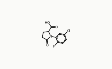 O=C(O)C1CCC(=O)N1c1cc(Cl)ccc1F